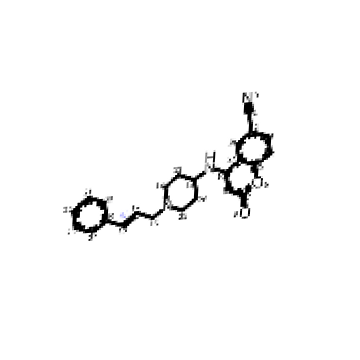 N#Cc1ccc2oc(=O)cc(NC3CCN(C/C=C/c4ccccc4)CC3)c2c1